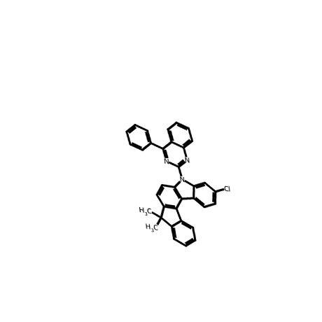 CC1(C)c2ccccc2-c2c1ccc1c2c2ccc(Cl)cc2n1-c1nc(-c2ccccc2)c2ccccc2n1